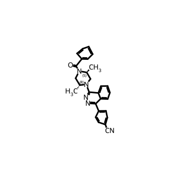 C[C@@H]1CN(C(=O)c2ccccc2)[C@@H](C)CN1c1nnc(-c2ccc(C#N)cc2)c2ccccc12